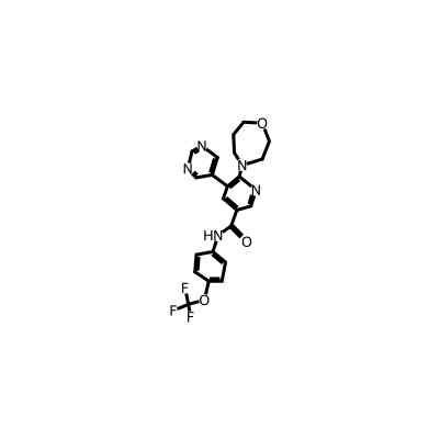 O=C(Nc1ccc(OC(F)(F)F)cc1)c1cnc(N2CCCOCC2)c(-c2cncnc2)c1